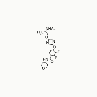 CC(=O)N[C@@H](C)COc1cnc(Oc2ccc(C(=O)NC3CCOCC3)c(F)c2F)cn1